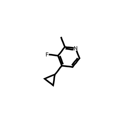 Cc1nccc(C2CC2)c1F